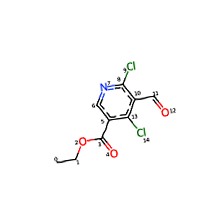 CCOC(=O)c1cnc(Cl)c(C=O)c1Cl